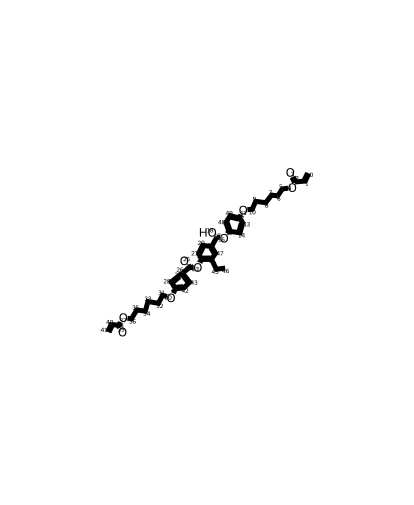 C=CC(=O)OCCCCCCOc1ccc(OC(O)c2ccc(OC(=O)c3ccc(OCCCCCCOC(=O)C=C)cc3)c(CC)c2)cc1